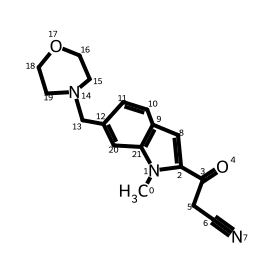 Cn1c(C(=O)CC#N)cc2ccc(CN3CCOCC3)cc21